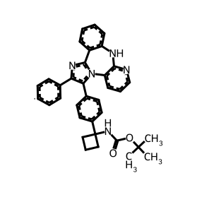 CC(C)(C)OC(=O)NC1(c2ccc(-c3c(-c4cc[c]cc4)nc4n3-c3cccnc3Nc3ccccc3-4)cc2)CCC1